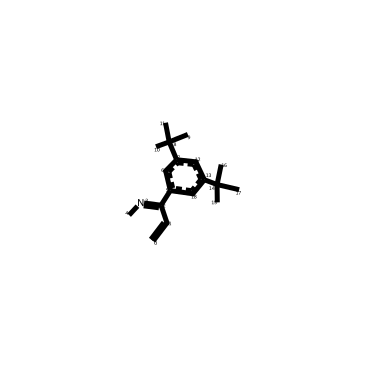 C=C/C(=N\C)c1cc(C(C)(C)C)cc(C(C)(C)C)c1